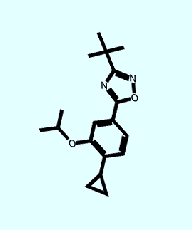 CC(C)Oc1cc(-c2nc(C(C)(C)C)no2)ccc1C1CC1